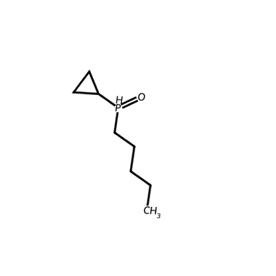 CCCCC[PH](=O)C1CC1